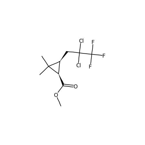 COC(=O)[C@@H]1[C@H](CC(Cl)(Cl)C(F)(F)F)C1(C)C